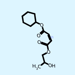 CC(O)COC(=O)/C=C\C(=O)OC1CCCCC1